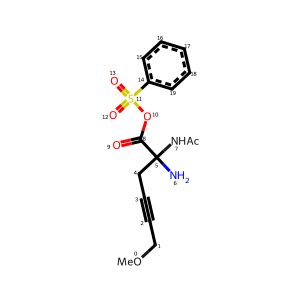 COCC#CCC(N)(NC(C)=O)C(=O)OS(=O)(=O)c1ccccc1